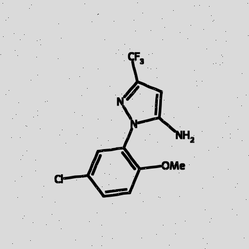 COc1ccc(Cl)cc1-n1nc(C(F)(F)F)cc1N